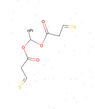 CCCC(OC(=O)CC=S)OC(=O)CC=S